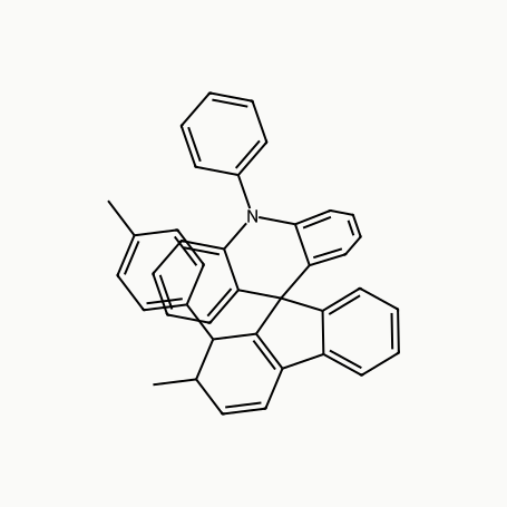 Cc1ccc(C2C3=C(C=CC2C)c2ccccc2C32c3ccccc3N(c3ccccc3)c3ccccc32)cc1